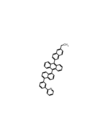 CCc1ccc2cc(-c3c4ccccc4c(-c4cccc5c(-c6cccc(-c7ccccn7)c6)cccc45)c4ccccc34)ccc2c1